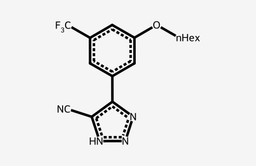 CCCCCCOc1cc(-c2nn[nH]c2C#N)cc(C(F)(F)F)c1